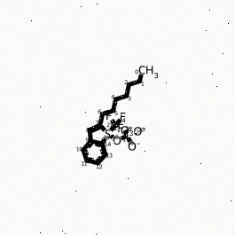 CCCCCCCC1=Cc2ccccc2S1(O[I+3]([O-])([O-])[O-])C(F)(F)F